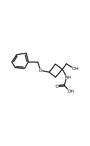 O=C(O)NC1(CO)CC(OCc2ccccc2)C1